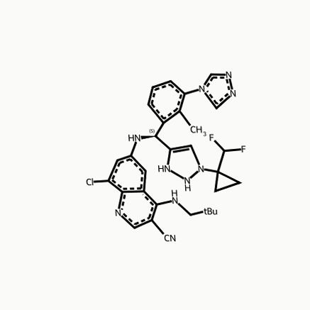 Cc1c([C@H](Nc2cc(Cl)c3ncc(C#N)c(NCC(C)(C)C)c3c2)C2=CN(C3(C(F)F)CC3)NN2)cccc1-n1cnnc1